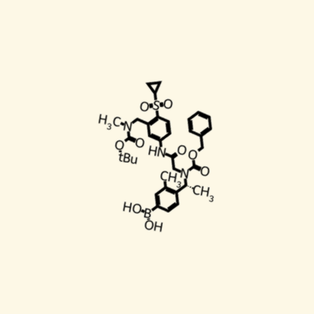 Cc1cc(B(O)O)ccc1[C@@H](C)N(CC(=O)Nc1ccc(S(=O)(=O)C2CC2)c(CN(C)C(=O)OC(C)(C)C)c1)C(=O)OCc1ccccc1